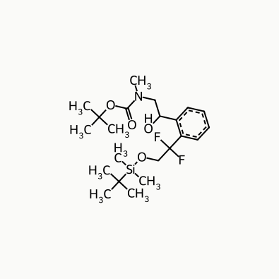 CN(CC(O)c1ccccc1C(F)(F)CO[Si](C)(C)C(C)(C)C)C(=O)OC(C)(C)C